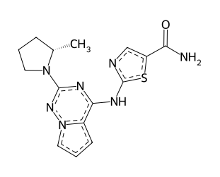 C[C@H]1CCCN1c1nc(Nc2ncc(C(N)=O)s2)c2cccn2n1